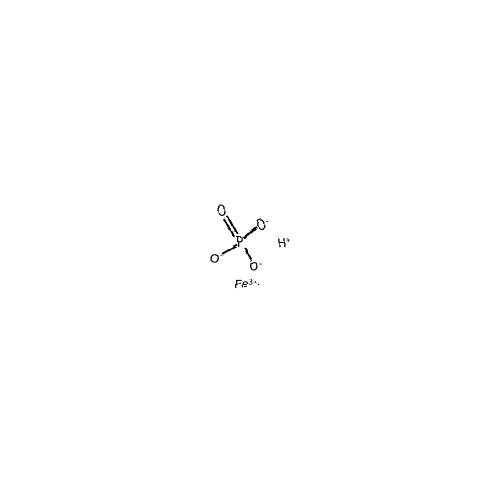 O=P([O-])([O-])[O-].[Fe+3].[H+]